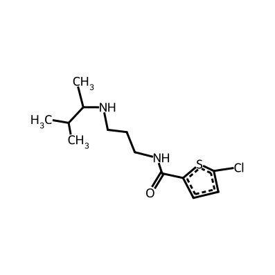 CC(C)C(C)NCCCNC(=O)c1ccc(Cl)s1